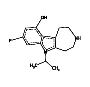 CC(C)n1c2c(c3c(O)cc(F)cc31)CCNCC2